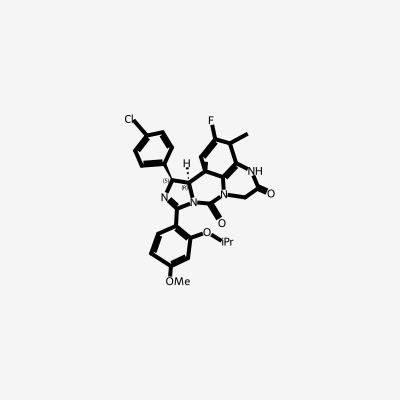 COc1ccc(C2=N[C@@H](c3ccc(Cl)cc3)[C@@H]3N2C(=O)N2CC(=O)NC4=C2C3(C)C=C(F)C4C)c(OC(C)C)c1